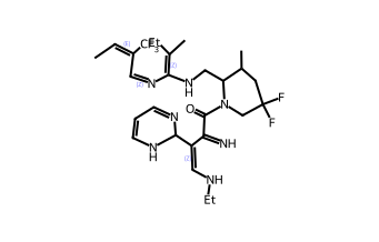 C\C=C(/C=N\C(NCC1C(C)CC(F)(F)CN1C(=O)C(=N)/C(=C\NCC)C1N=CC=CN1)=C(\C)CC)C(F)(F)F